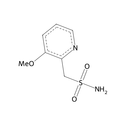 COc1cccnc1CS(N)(=O)=O